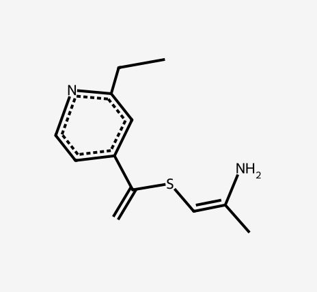 C=C(S/C=C(/C)N)c1ccnc(CC)c1